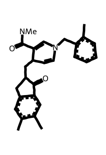 CNC(=O)C1=CN(Cc2ccccc2C)C=CC1CC1Cc2cc(C)c(C)cc2C1=O